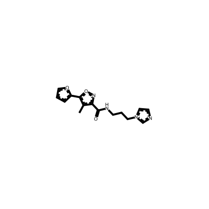 Cc1c(C(=O)NCCCn2ccnc2)noc1-c1ccco1